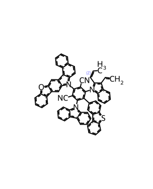 C=Cc1c(/C=C\C)n(-c2c(C#N)c(-n3c4cc5c(cc4c4c6ccccc6ccc43)oc3ccccc35)c(C#N)c(-n3c4ccccc4c4ccccc43)c2-c2ccc3sc4ccccc4c3c2)c2ccccc12